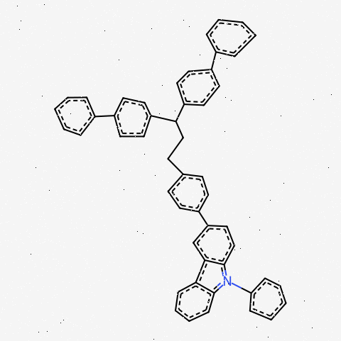 c1ccc(-c2ccc(C(CCc3ccc(-c4ccc5c(c4)c4ccccc4n5-c4ccccc4)cc3)c3ccc(-c4ccccc4)cc3)cc2)cc1